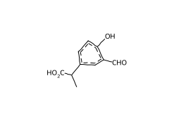 CC(C(=O)O)c1ccc(O)c(C=O)c1